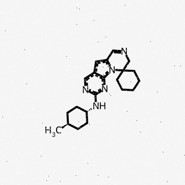 C[C@H]1CC[C@H](Nc2ncc3cc4n(c3n2)C2(CCCCC2)CN=C4)CC1